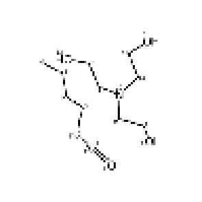 CCCC[O][Al]=[O].OCCN(CCO)CCO